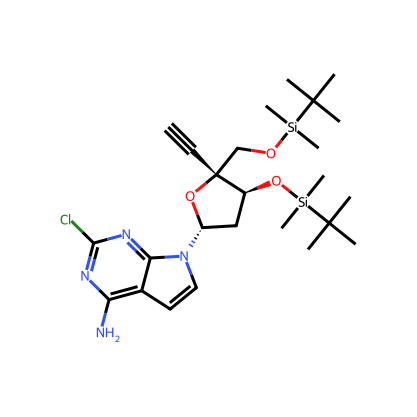 C#C[C@]1(CO[Si](C)(C)C(C)(C)C)O[C@@H](n2ccc3c(N)nc(Cl)nc32)C[C@@H]1O[Si](C)(C)C(C)(C)C